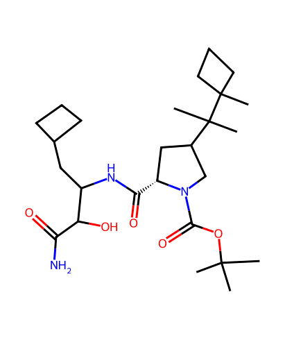 CC(C)(C)OC(=O)N1CC(C(C)(C)C2(C)CCC2)C[C@H]1C(=O)NC(CC1CCC1)C(O)C(N)=O